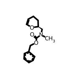 CN(C[C@@H]1CCC=CO1)C(=O)OCc1ccccc1